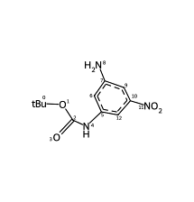 CC(C)(C)OC(=O)Nc1cc(N)cc([N+](=O)[O-])c1